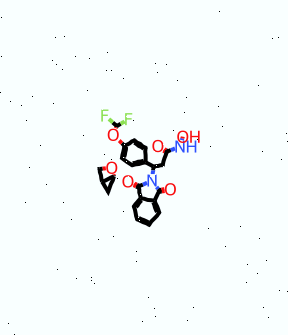 C1OC2CC12.O=C(CC(c1ccc(OC(F)F)cc1)N1C(=O)c2ccccc2C1=O)NO